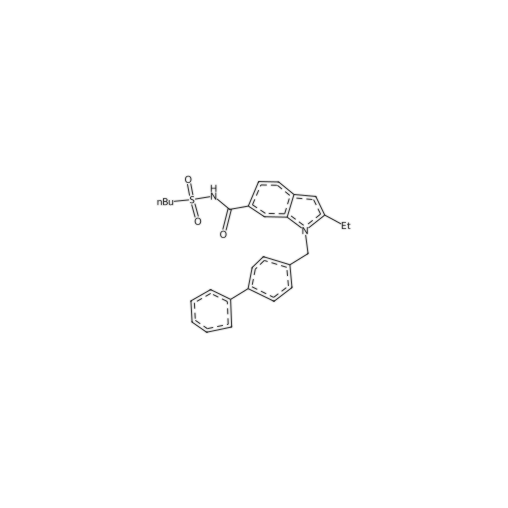 CCCCS(=O)(=O)NC(=O)c1ccc2cc(CC)n(Cc3ccc(-c4ccccc4)cc3)c2c1